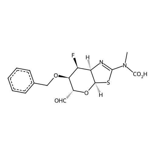 CN(C(=O)O)C1=N[C@@H]2[C@H](F)[C@H](OCc3ccccc3)[C@@H](C=O)O[C@@H]2S1